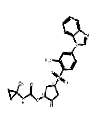 N#CC1(NC(=O)O[C@H]2C[C@@H](S(=O)(=O)c3ccc(-n4cnc5ccccc54)cc3C(F)(F)F)CN2)CC1